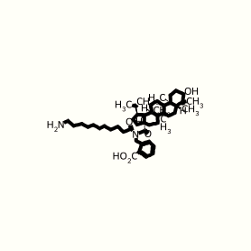 C=C(C)[C@@H]1CC[C@]2(C(=O)N(Cc3ccccc3C(=O)O)C(=O)CCCCCCCCCCN)CC[C@]3(C)[C@H](CCC4[C@@]5(C)CC[C@H](O)C(C)(C)[C@@H]5CC[C@]43C)[C@@H]12